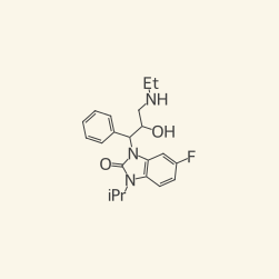 CCNCC(O)C(c1ccccc1)n1c(=O)n(C(C)C)c2ccc(F)cc21